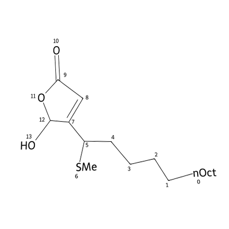 CCCCCCCCCCCCC(SC)C1=CC(=O)OC1O